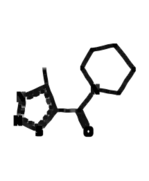 Cc1nnsc1C(=O)N1CCCCC1